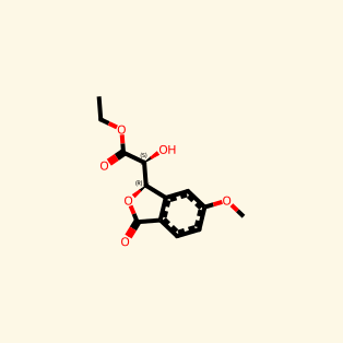 CCOC(=O)[C@@H](O)[C@@H]1OC(=O)c2ccc(OC)cc21